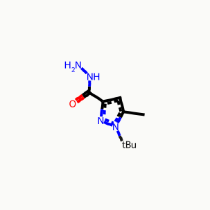 Cc1cc(C(=O)NN)nn1C(C)(C)C